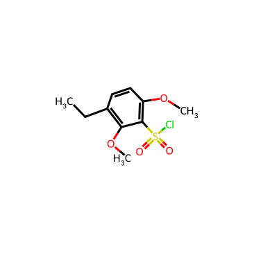 CCc1ccc(OC)c(S(=O)(=O)Cl)c1OC